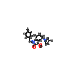 Cc1ccc(CN2C(=O)C(=O)c3c(N4CCCC4)cccc32)cc1